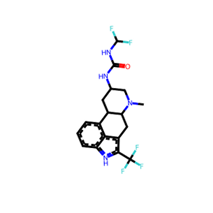 CN1CC(NC(=O)NC(F)F)CC2c3cccc4[nH]c(C(F)(F)F)c(c34)CC21